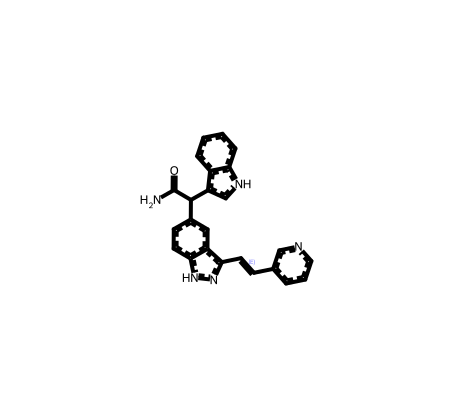 NC(=O)C(c1ccc2[nH]nc(/C=C/c3cccnc3)c2c1)c1c[nH]c2ccccc12